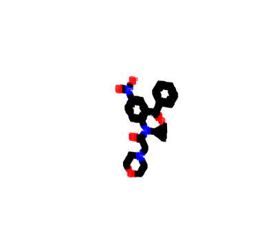 O=C(c1ccccc1)c1cc([N+](=O)[O-])ccc1N(C(=O)CN1CCOCC1)C1CC1